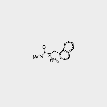 CNC(=O)[C@@H](N)Cc1cccc2ccccc12